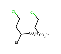 CCC(CCCl)C(=O)O.CCOC(=O)CCCl